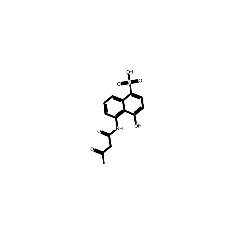 CC(=O)CC(=O)Nc1cccc2c(S(=O)(=O)O)ccc(O)c12